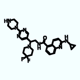 O=C(NCC(c1cnc(N2CCNCC2)nc1)N1CCC(F)(F)CC1)c1cccc2nc(NC3CC3)ccc12